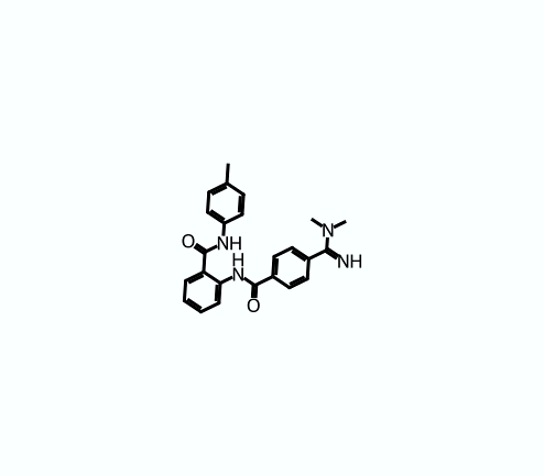 Cc1ccc(NC(=O)c2ccccc2NC(=O)c2ccc(C(=N)N(C)C)cc2)cc1